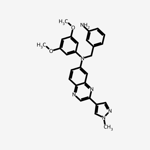 COc1cc(OC)cc(N(Cc2cccc(N)c2)c2ccc3ncc(-c4cnn(C)c4)nc3c2)c1